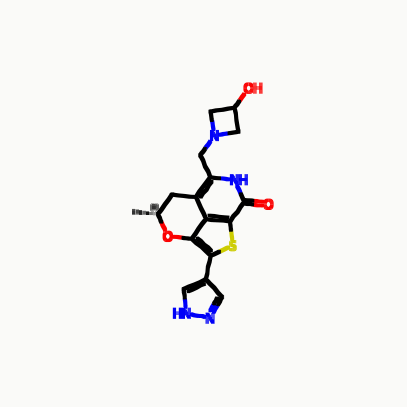 C[C@@H]1Cc2c(CN3CC(O)C3)[nH]c(=O)c3sc(-c4cn[nH]c4)c(c23)O1